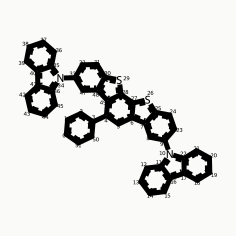 c1ccc(-c2cc3c4cc(-n5c6ccccc6c6ccccc65)ccc4sc3c3sc4ccc(-n5c6ccccc6c6ccccc65)cc4c23)cc1